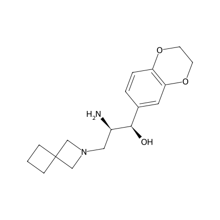 N[C@H](CN1CC2(CCC2)C1)[C@H](O)c1ccc2c(c1)OCCO2